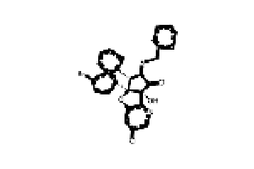 O=C1C(SCc2ccccc2)[C@@H](c2ccccc2)[C@]2(c3ccc(Br)cc3)Oc3cc(Cl)cnc3[C@]12O